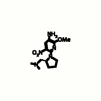 COc1nc(N2CCC[C@@H]2CN(C)C)c([N+](=O)[O-])cc1N